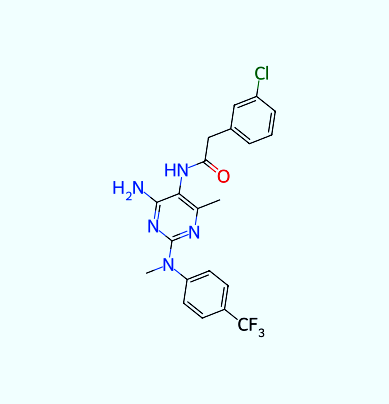 Cc1nc(N(C)c2ccc(C(F)(F)F)cc2)nc(N)c1NC(=O)Cc1cccc(Cl)c1